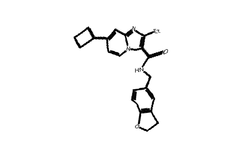 CCc1nc2cc(C3CCC3)ccn2c1C(=O)NCc1ccc2c(c1)CCO2